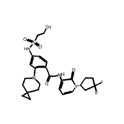 O=C(Nc1cccn([C@@H]2CCC(F)(F)C2)c1=O)c1ccc(NS(=O)(=O)CCO)cc1N1CCC2(CC1)CC2